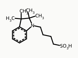 CC1(C)c2ccccc2N(CCCCS(=O)(=O)O)C1(C)C